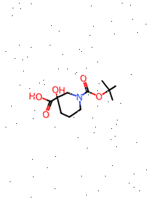 CC(C)(C)OC(=O)N1CCCC(O)(C(=O)O)C1